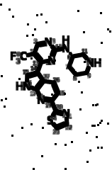 FC(F)(F)c1cnc(N[C@H]2CCCNC2)nc1-c1c[nH]c2nc(-c3nccs3)ccc12